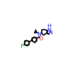 O=C(c1ccc(-c2ccc(F)cc2)cc1)N(C1CC1)C1CCc2[nH]ncc2C1